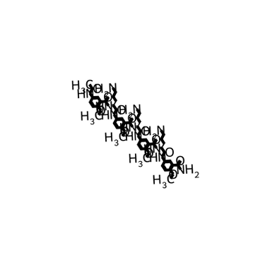 COc1ccc(NC(=O)[C@H](CCCN)NC(=O)c2cc(NC(=O)[C@H](CCCN)NC(=O)c3cc(NC(=O)[C@H](CCCN)NC(=O)c4cc(NC(C)=O)ccc4OC)ccc3OC)ccc2OC)cc1C(N)=O